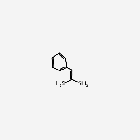 [SiH3]C([SiH3])=Cc1ccccc1